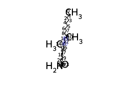 CCCCCCCCC/C(C)=C/C=C(\C)CCCCCCC(N)=O